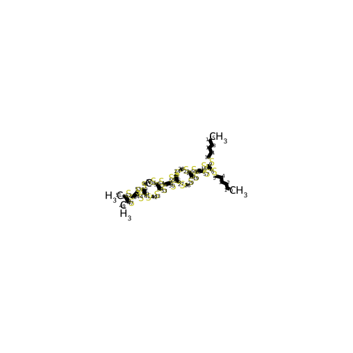 CCCCCCSC1=C(SCCCCCC)SC(=C2SC3=C(SCSC4=C(SCS3)SC(=C3SC5=C(SCSC6=C(SCS5)SC(=C5SC(C)=C(C)S5)S6)S3)S4)S2)S1